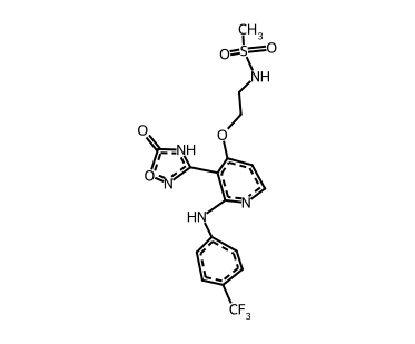 CS(=O)(=O)NCCOc1ccnc(Nc2ccc(C(F)(F)F)cc2)c1-c1noc(=O)[nH]1